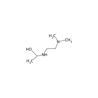 CC(O)NCCN(C)C